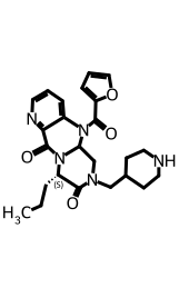 CCC[C@H]1C(=O)N(CC2CCNCC2)CC2N(C(=O)c3ccco3)c3cccnc3C(=O)N21